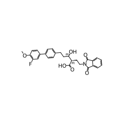 COc1ccc(-c2ccc(CC[C@@H](O)[C@@H](CCN3C(=O)c4ccccc4C3=O)C(=O)O)cc2)cc1F